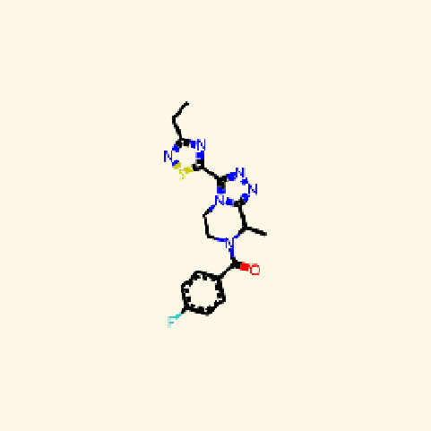 CCc1nsc(-c2nnc3n2CCN(C(=O)c2ccc(F)cc2)C3C)n1